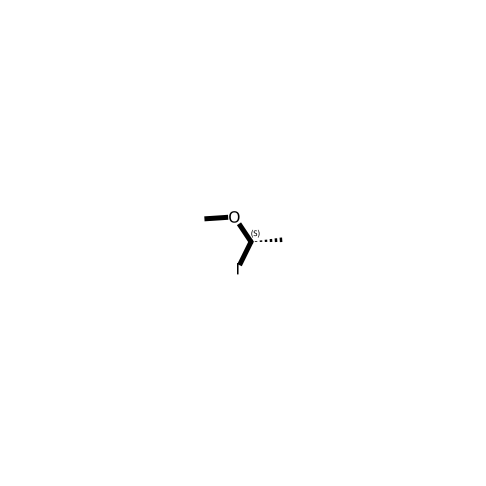 CO[C@H](C)I